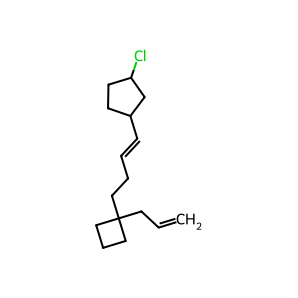 C=CCC1(CC/C=C/C2CCC(Cl)C2)CCC1